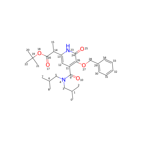 CC(C)CN(CC(C)C)C(=O)c1cc(C(C)C(=O)OC(C)(C)C)[nH]c(=O)c1OCc1ccccc1